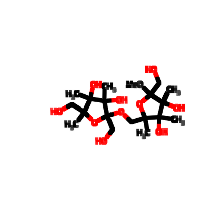 COC1(CO)OC(C)(COC2(CO)OC(C)(CO)C(C)(O)C2(C)O)C(C)(O)C1(C)O